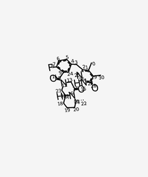 Cc1c(Cc2ccc(F)c(C(=O)N3CC(=O)N4[C@@H](CCC[C@H]4C)C3)c2)n[nH]c(=O)c1C